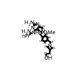 CCCC(N)Nc1nc(N)nc2cnn(Cc3ccc(CN4CC(CCO)C4)cc3OC)c12